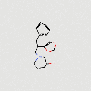 OC1CCCN(CC(Cc2ccccc2)C2=COCO2)C1